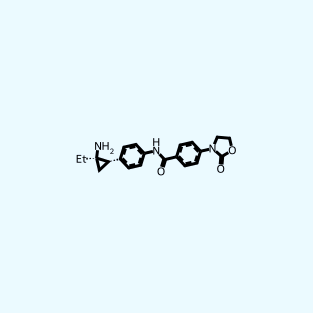 CC[C@@]1(N)C[C@H]1c1ccc(NC(=O)c2ccc(N3CCOC3=O)cc2)cc1